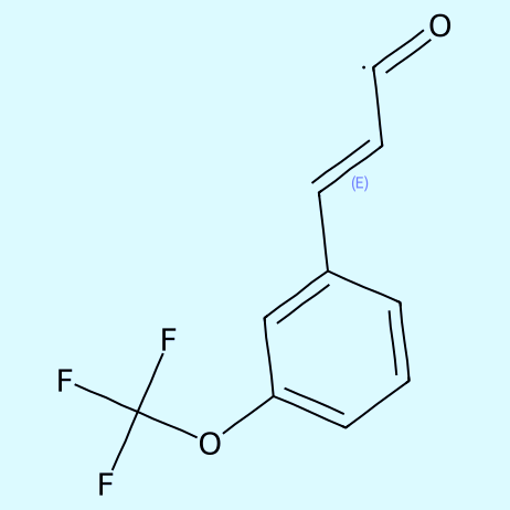 O=[C]/C=C/c1cccc(OC(F)(F)F)c1